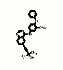 COc1cc(Nc2ncnc3ccc(C#CC(C)(C)O)cc23)ccc1Oc1ccccc1